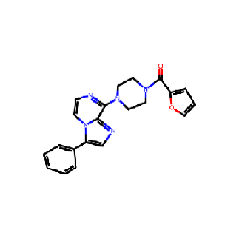 O=C(c1ccco1)N1CCN(c2nccn3c(-c4ccccc4)cnc23)CC1